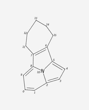 c1cc2ccc3c4c(c(c1)n23)CCCCC4